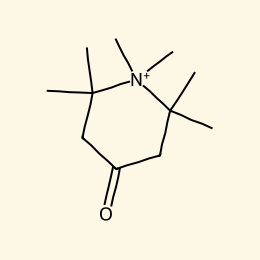 CC1(C)CC(=O)CC(C)(C)[N+]1(C)C